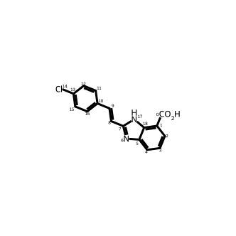 O=C(O)c1cccc2nc(C=Cc3ccc(Cl)cc3)[nH]c12